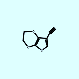 C#Cc1csc2c1OCCO2